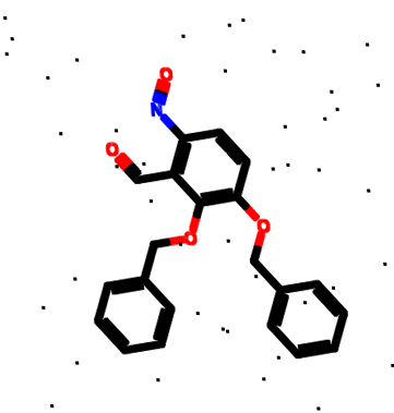 O=Cc1c(N=O)ccc(OCc2ccccc2)c1OCc1ccccc1